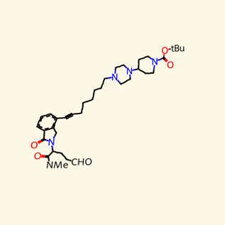 CNC(=O)C(CCC=O)N1Cc2c(C#CCCCCCCN3CCN(C4CCN(C(=O)OC(C)(C)C)CC4)CC3)cccc2C1=O